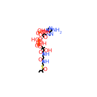 CCC(C)C(=O)SCCNC(=O)CCNC(=O)C(O)C(C)(C)COP(=O)(O)OP(=O)(O)OC[C@H]1O[C@@H](n2cnc3c(N)ncnc32)[C@H](O)[C@@H]1OP(=O)(O)O